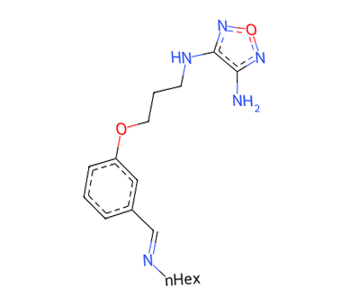 CCCCCCN=Cc1cccc(OCCCNc2nonc2N)c1